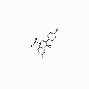 Cc1ccc2c(c1)c(=O)c(-c1ccc(F)cc1)c(C)n2C(=O)O